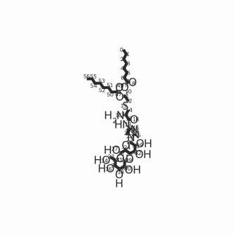 CCCCCCCC(=O)OC[C@H](CSC[C@@H](N)C(=O)Nc1cn([C@@H]2OC(CO)C(OC3OC(CO)C(O)C(O)C3O)C(O)C2O)nn1)OC(=O)CCCCCCC